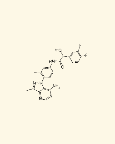 Cc1cc(NC(=O)C(O)c2ccc(F)c(F)c2)ccc1-n1nc(C)c2ncnc(N)c21